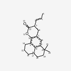 CC=CC1Cc2cc3c4c(c2OC1=O)CCCN4CCC3(C)C